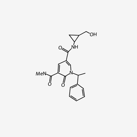 CNC(=O)c1cc(C(=O)NC2CC2CO)cn(C(C)c2ccccc2)c1=O